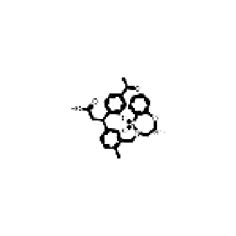 CC(=O)c1ccc(C(CC(=O)O)c2ccc(C)c(CN3C[C@@H](C)Oc4ccccc4S3(=O)=O)c2)cc1